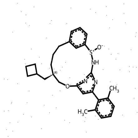 Cc1cccc(C)c1-c1cc2nc(n1)N[S+]([O-])c1cccc(c1)CCC[C@H](CC1CCC1)CO2